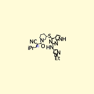 CCn1cc(Nc2nc(SC3CCCN(C(=O)/C(C#N)=C/C(C)C)C3)c3cc[nH]c3n2)cn1